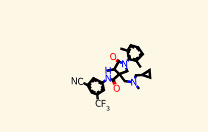 Cc1cccc(C)c1N1CC(CN(C)CC2CC2)(C(=O)Nc2cc(C#N)cc(C(F)(F)F)c2)C(C)C1=O